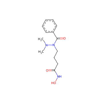 CN(C)N(CCCC(=O)NO)C(=O)c1ccccc1